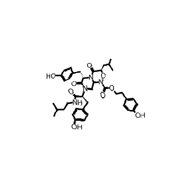 CC(C)CCNC(=O)[C@H](Cc1ccc(O)cc1)N1CC2N(C(=O)OCCc3ccc(O)cc3)O[C@H](CC(C)C)C(=O)N2[C@@H](Cc2ccc(O)cc2)C1=O